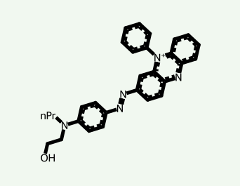 CCCN(CCO)c1ccc(/N=N/c2ccc3nc4ccccc4[n+](-c4ccccc4)c3c2)cc1